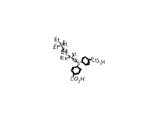 CC[N+](CC)(CC)CC.CC[N+](CC)(CC)CC.O=C(O)c1ccc([S+]([O-])c2ccc(C(=O)O)cc2)cc1